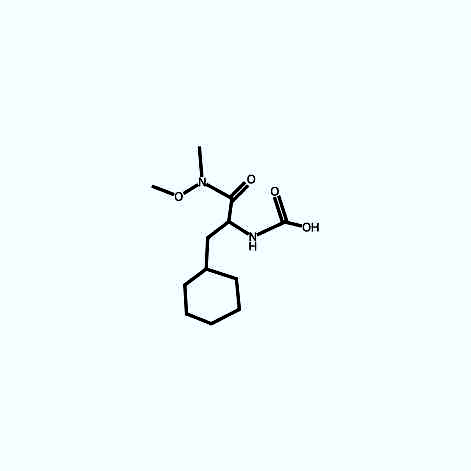 CON(C)C(=O)C(CC1CCCCC1)NC(=O)O